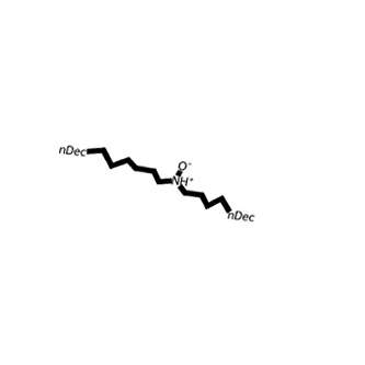 CCCCCCCCCCCCCCCC[NH+]([O-])CCCCCCCCCCCCCC